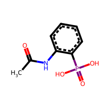 CC(=O)Nc1ccccc1P(=O)(O)O